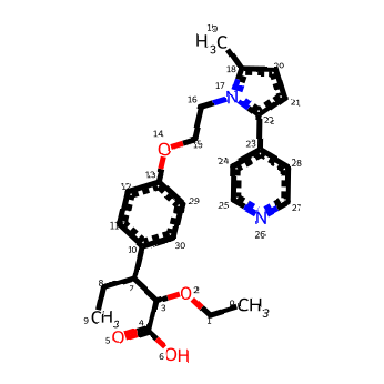 CCOC(C(=O)O)C(CC)c1ccc(OCCn2c(C)ccc2-c2ccncc2)cc1